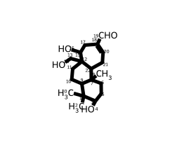 CC1(C)C(O)CCC2(C)C1CCC1(CO)C(O)CC(C=O)=CCC21